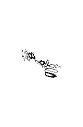 C=C(NC(=O)Cc1ccccc1)Nc1ccc(Oc2ccnc3cc(OC)c(OC)cc23)nc1